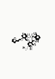 COc1c(Cl)cccc1NC(=S)C1=C(NCc2ccncc2OCCC2CCCO2)CC(C)NC1=O